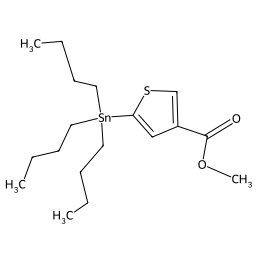 CCC[CH2][Sn]([CH2]CCC)([CH2]CCC)[c]1cc(C(=O)OC)cs1